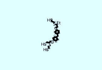 CCC(COc1ccc(Cc2ccc(OCC(CS)SCCS)cc2)cc1)SCCS